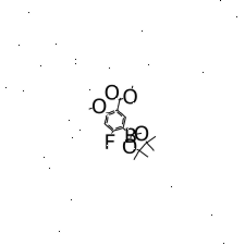 COC(=O)c1cc(B2OC(C)(C)C(C)(C)O2)c(F)cc1OC